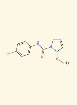 O=C(O)OC1C=CCN1C(=O)Nc1ccc(Cl)cc1